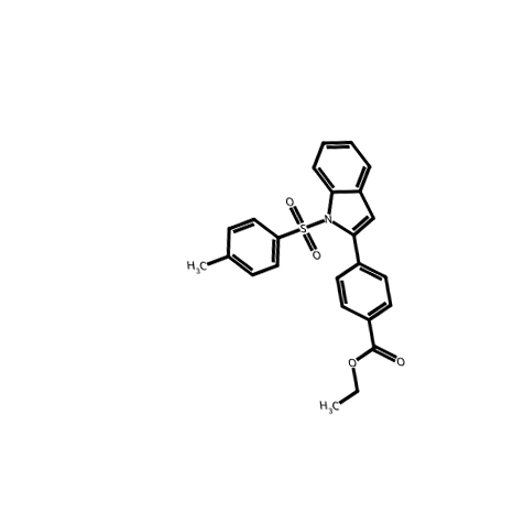 CCOC(=O)c1ccc(-c2cc3ccccc3n2S(=O)(=O)c2ccc(C)cc2)cc1